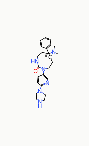 CN(C)[C@@]1(c2ccccc2)CCCN(c2ccc(N3CCNCC3)nc2)C(=O)NCC1